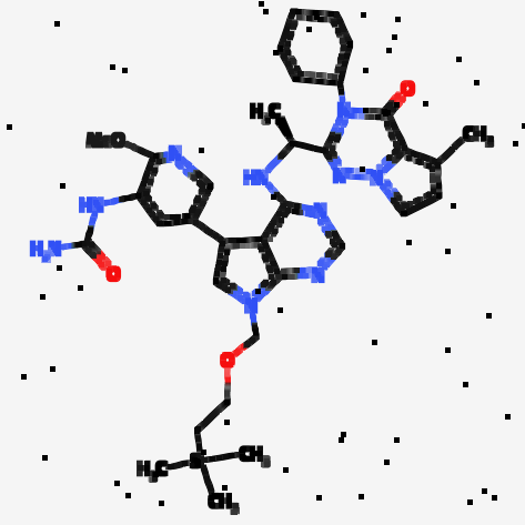 COc1ncc(-c2cn(COCC[Si](C)(C)C)c3ncnc(N[C@@H](C)c4nn5ccc(C)c5c(=O)n4-c4ccccc4)c23)cc1NC(N)=O